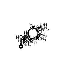 CC(O)[C@H]1C(=O)N[C@@H](CO)C(=O)N[C@H](C(=O)N[C@@H](CO)C(=O)N[C@@H](Cc2ccccc2)C(N)=O)CCCCNC(=O)CC[C@H](NC(=O)[C@@H](N)CO)C(=O)N1C